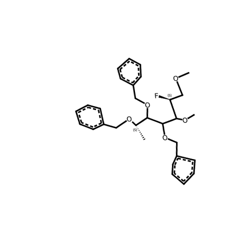 COC[C@H](F)C(OC)C(OCc1ccccc1)C(OCc1ccccc1)[C@H](C)OCc1ccccc1